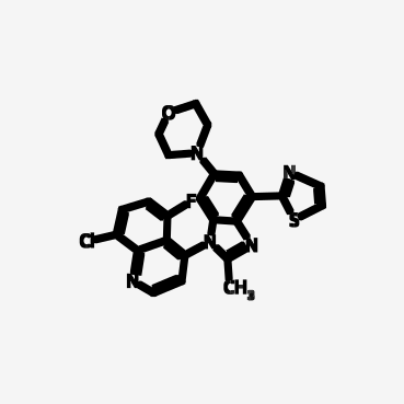 Cc1nc2c(-c3nccs3)cc(N3CCOCC3)cc2n1-c1ccnc2c(Cl)ccc(F)c12